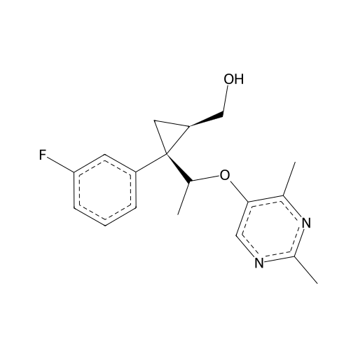 Cc1ncc(OC(C)[C@@]2(c3cccc(F)c3)C[C@H]2CO)c(C)n1